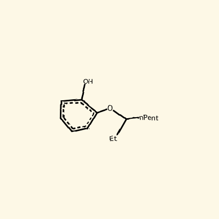 CCCCCC(CC)Oc1[c]cccc1O